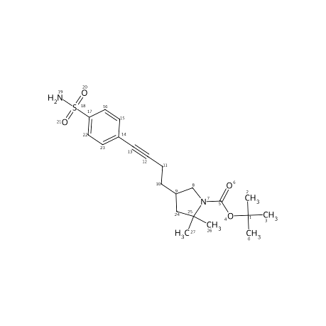 CC(C)(C)OC(=O)N1CC(CCC#Cc2ccc(S(N)(=O)=O)cc2)CC1(C)C